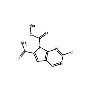 CC(C)(C)OC(=O)n1c(C(N)=O)cc2cnc(Cl)nc21